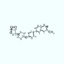 Cc1cc2cc(-c3ccc(OC4CCN(C5CO[C@@H](C=O)C5)CC4)cc3)ccc2cn1